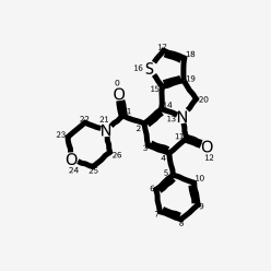 O=C(c1cc(-c2ccccc2)c(=O)n2c1-c1sccc1C2)N1CCOCC1